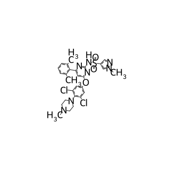 Cc1cccc(C)c1-c1cc(Oc2cc(Cl)c(N3CCN(C)CC3)c(Cl)c2)nc(NS(=O)(=O)c2cnn(C)c2)n1